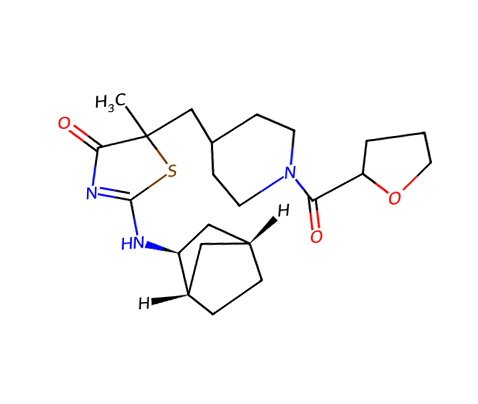 CC1(CC2CCN(C(=O)C3CCCO3)CC2)SC(N[C@H]2C[C@@H]3CC[C@H]2C3)=NC1=O